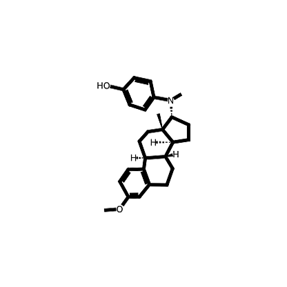 COc1ccc2c(c1)CC[C@@H]1[C@@H]2CC[C@@]2(C)[C@H]1CC[C@H]2N(C)c1ccc(O)cc1